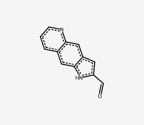 O=Cc1cc2cc3ncccc3cc2[nH]1